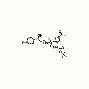 CC(=O)c1cc(S(=O)(=O)NCCC(O)c2ccc(F)cc2)c(NC(=O)OC(C)(C)C)s1